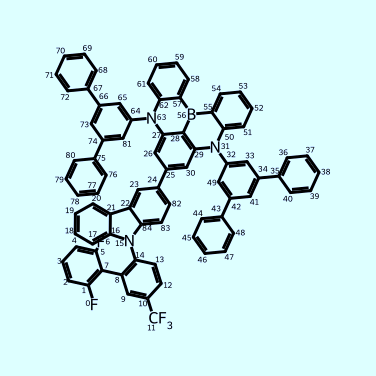 Fc1cccc(F)c1-c1cc(C(F)(F)F)ccc1-n1c2ccccc2c2cc(-c3cc4c5c(c3)N(c3cc(-c6ccccc6)cc(-c6ccccc6)c3)c3ccccc3B5c3ccccc3N4c3cc(-c4ccccc4)cc(-c4ccccc4)c3)ccc21